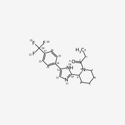 CCC(=O)N1CCCCC1c1ncc(-c2ccc(C(F)(F)F)cc2)[nH]1